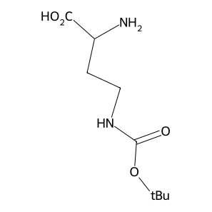 CC(C)(C)OC(=O)NCCC(N)C(=O)O